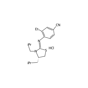 CCc1cc(C#N)ccc1/N=C1\SC[C@H](CC(C)C)N1CC(C)C.Cl